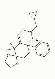 CC1(C)C2=CCN(CC3CC3)C(=O)C2(c2ccccc2)CCC12OCCO2